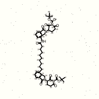 CC(C)(C)OC(=O)N1C(=O)CCC(N2Cc3c(CCCCCCCCCC(=O)Nc4cccc5c4CN(C4CCC(=O)N(C(=O)OC(C)(C)C)C4=O)C5=O)cccc3C2=O)C1=O